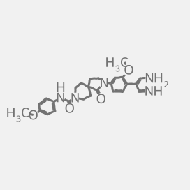 COc1ccc(NC(=O)N2CCC3(CC2)CCN(c2ccc(/C(C=N)=C/N)c(OC)c2)C3=O)cc1